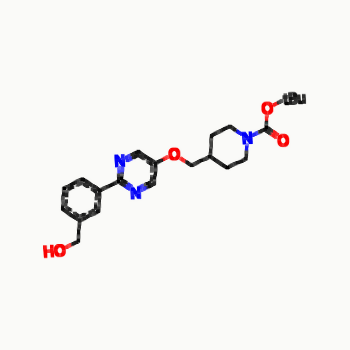 CC(C)(C)OC(=O)N1CCC(COc2cnc(-c3cccc(CO)c3)nc2)CC1